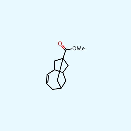 COC(=O)C12CC3CC=CC(C1)C(C3)C2